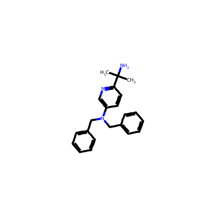 CC(C)(N)c1ccc(N(Cc2ccccc2)Cc2ccccc2)cn1